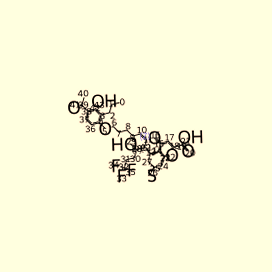 CCCc1c(OCCCC/C=C\[C@@H](C2=c3c(=O)cc(C(=O)O)oc3=CC(=S)C2)[C@H](O)CCC(F)(F)F)ccc(C(C)=O)c1O